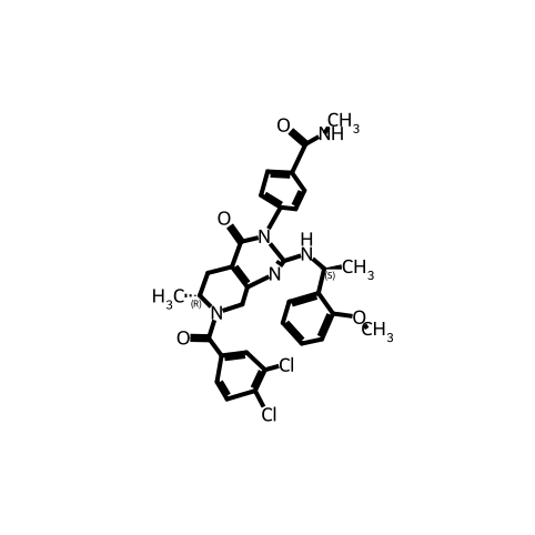 CNC(=O)c1ccc(-n2c(N[C@@H](C)c3ccccc3OC)nc3c(c2=O)C[C@@H](C)N(C(=O)c2ccc(Cl)c(Cl)c2)C3)cc1